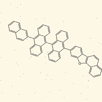 c1ccc2cc(-c3c4ccccc4c(-c4c5ccccc5c(-c5ccc6c(c5)oc5c7ccccc7ccc65)c5ccccc45)c4ccccc34)ccc2c1